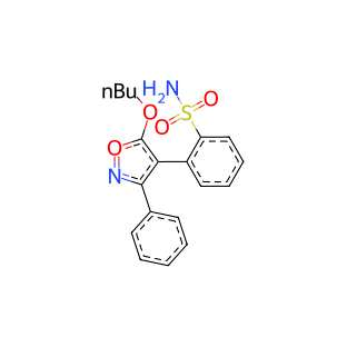 CCCCOc1onc(-c2ccccc2)c1-c1ccccc1S(N)(=O)=O